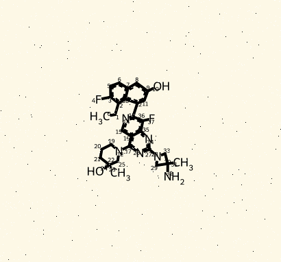 CCc1c(F)ccc2cc(O)cc(-c3ncc4c(N5CCC[C@@](C)(O)C5)nc(N5CC(C)(N)C5)nc4c3F)c12